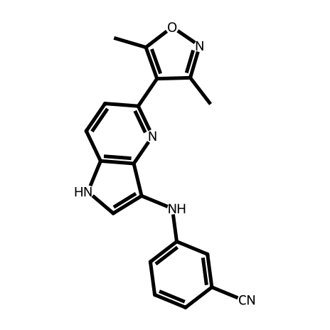 Cc1noc(C)c1-c1ccc2[nH]cc(Nc3cccc(C#N)c3)c2n1